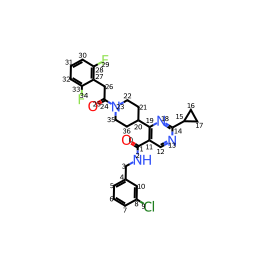 O=C(NCc1cccc(Cl)c1)c1cnc(C2CC2)nc1C1CCN(C(=O)Cc2c(F)cccc2F)CC1